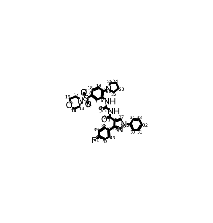 O=C(NC(=S)Nc1cc(S(=O)(=O)N2CCOCC2)ccc1N1CCCC1)c1cn(-c2ccccc2)nc1-c1ccc(F)cc1